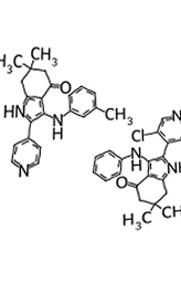 CC1(C)CC(=O)c2c([nH]c(-c3ccncc3Cl)c2Nc2ccccc2)C1.Cc1cccc(Nc2c(-c3ccncc3)[nH]c3c2C(=O)CC(C)(C)C3)c1